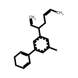 C=CC(C/C=C\C)c1cc(I)cc(C2=CCCC=C2)c1